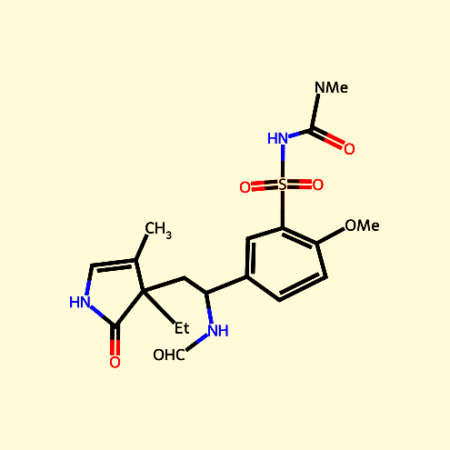 CCC1(CC(NC=O)c2ccc(OC)c(S(=O)(=O)NC(=O)NC)c2)C(=O)NC=C1C